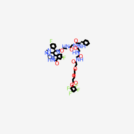 Cn1ncnc1C1c2n[nH]c(=O)c3cc(F)cc(c23)N(COCCNC(=O)CNC(=O)[C@H](Cc2ccccc2)NC(=O)CNC(=O)CNC(=O)CCOCCOCCC(=O)Oc2c(F)c(F)cc(F)c2F)[C@@H]1c1ccc(F)cc1